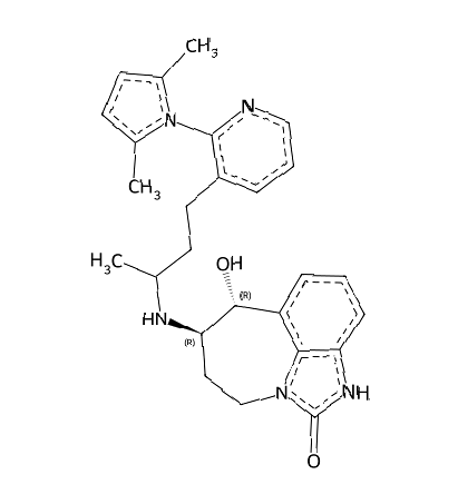 Cc1ccc(C)n1-c1ncccc1CCC(C)N[C@@H]1CCn2c(=O)[nH]c3cccc(c32)[C@H]1O